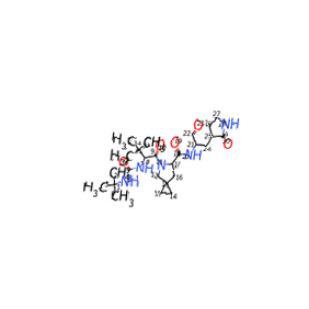 CC(C)(C)NC(=O)NC(C(=O)N1CC2(CC2)CC1C(=O)NC(C=O)CC1CCNC1=O)C(C)(C)C